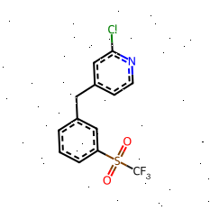 O=S(=O)(c1cccc(Cc2ccnc(Cl)c2)c1)C(F)(F)F